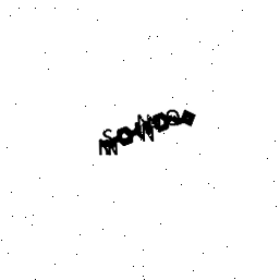 C1=CC(c2nncs2)CC=C1c1cnc(N2CCC(OCC3CCC3)CC2)nc1